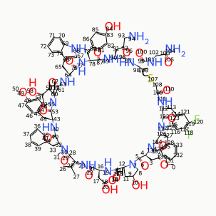 COCC[C@H]1C(=O)N2C[C@@H](O)C[C@@H]2C(=O)N[C@@H](CC(=O)O)C(=O)N[C@@H](C(C)C)C(=O)N(C)[C@@H](Cc2ccccc2)C(=O)N[C@@H](Cc2ccc(OC)cc2)C(=O)N2C[C@@H](O)C[C@@H]2C(=O)N[C@@H](Cc2c[nH]c3ccccc23)C(=O)N[C@@H](Cc2ccc(O)cc2)C(=O)N[C@@H](CCCN)C(=O)N[C@H](C(=O)NCC(N)=O)CSCC(=O)N[C@@H](Cc2ccc(F)c(F)c2)C(=O)N(C)[C@@H](Cc2ccccc2)C(=O)N1C